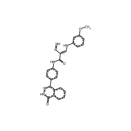 COc1cccc(N/C=C(\N=N)C(=O)Nc2ccc(-c3n[nH]c(=O)c4ccccc34)cc2)c1